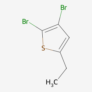 CCc1cc(Br)c(Br)s1